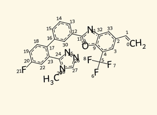 C=Cc1cc(C(F)(F)F)c2oc(-c3cccc(-c4ccc(F)cc4-c4nncn4C)c3)nc2c1